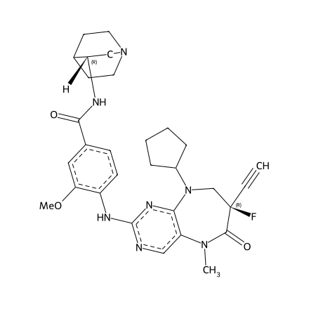 C#C[C@@]1(F)CN(C2CCCC2)c2nc(Nc3ccc(C(=O)N[C@H]4CN5CCC4CC5)cc3OC)ncc2N(C)C1=O